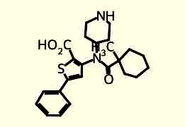 CC1(C(=O)N(c2cc(-c3ccccc3)sc2C(=O)O)C2CCNCC2)CCCCC1